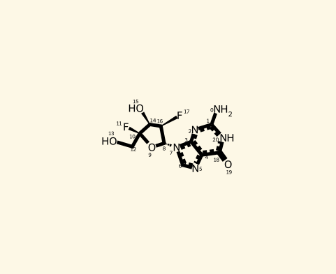 Nc1nc2c(ncn2[C@@H]2O[C@](F)(CO)[C@@H](O)[C@H]2F)c(=O)[nH]1